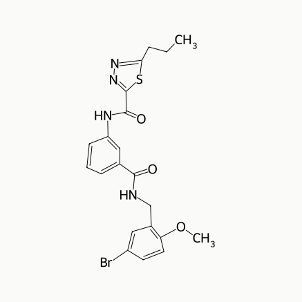 CCCc1nnc(C(=O)Nc2cccc(C(=O)NCc3cc(Br)ccc3OC)c2)s1